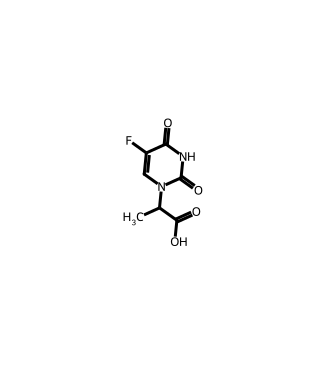 CC(C(=O)O)n1cc(F)c(=O)[nH]c1=O